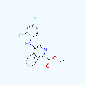 CCOC(=O)c1ncc(Nc2ccc(F)cc2F)c2c1C1CCC2C1